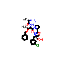 CCCC(N)C(=O)NC(C(=O)N1CCCC1C1=N[C@](CO)(Cc2cccc(Cl)c2)CO1)C(C)OCc1ccccc1